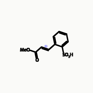 COC(=O)/C=C/c1ccccc1S(=O)(=O)O